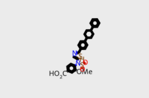 COc1cc(C(=O)O)ccc1N(c1cnc(-c2ccc(C3CCC(c4ccccc4)CC3)cc2)s1)[SH](=O)=O